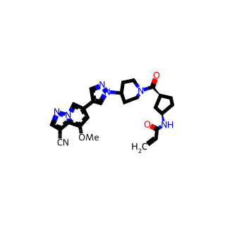 C=CC(=O)N[C@@H]1CC[C@H](C(=O)N2CCC(n3cc(-c4cc(OC)c5c(C#N)cnn5c4)cn3)CC2)C1